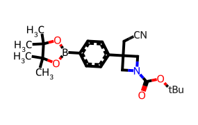 CC(C)(C)OC(=O)N1CC(CC#N)(c2ccc(B3OC(C)(C)C(C)(C)O3)cc2)C1